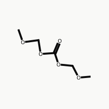 COCOC(=O)OCOC